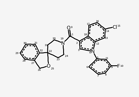 O=C(c1cn(-c2cccc(F)c2)c2cc(Cl)ccc12)N1CCC2(CC1)OCc1ccccc12